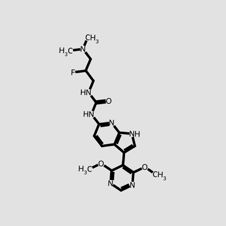 COc1ncnc(OC)c1-c1c[nH]c2nc(NC(=O)NCC(F)CN(C)C)ccc12